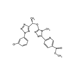 COC(=O)c1ccc(-c2nnc(O[C@H](C)c3nnn(-c4cccc(Cl)c4)n3)n2C)nc1